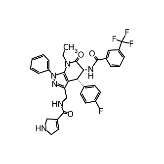 CCN1C(=O)[C@H](NC(=O)c2cccc(C(F)(F)F)c2)[C@H](c2ccc(F)cc2)c2c(CNC(=O)C3=CCNC3)nn(-c3ccccc3)c21